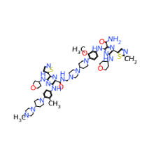 COc1cc(Nc2nc(NC3CCOCC3)c(-c3cnc(C)s3)nc2C(N)=O)ccc1N1CCC(N2CCN(CNC(=O)c3nc(-c4ccns4)c(NC4CCOCC4)nc3Nc3ccc(N4CCC(N5CCN(C)CC5)CC4)c(C)c3)CC2)CC1